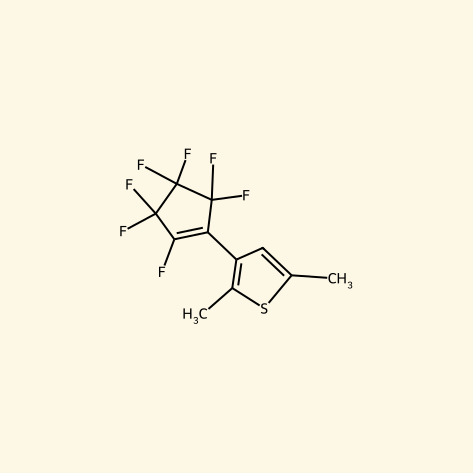 Cc1cc(C2=C(F)C(F)(F)C(F)(F)C2(F)F)c(C)s1